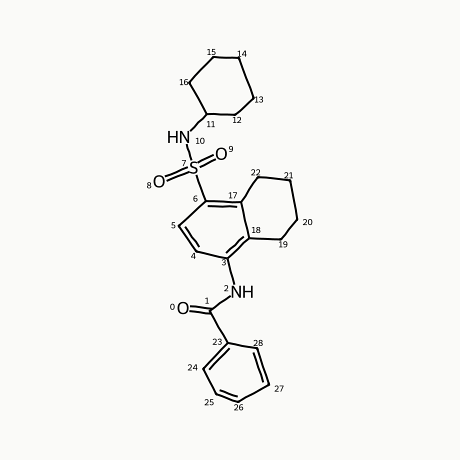 O=C(Nc1ccc(S(=O)(=O)NC2CCCCC2)c2c1CCCC2)c1ccccc1